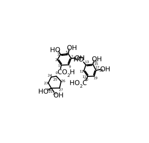 O=C(O)c1cc(O)c(O)c(O)c1.O=C(O)c1cc(O)c(O)c(O)c1.OC1(O)CCCCC1